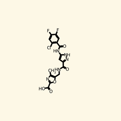 Cc1nc(C(=O)O)oc1CNC(=O)c1cc(NC(=O)c2cc(F)c(F)cc2Cl)[nH]n1